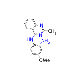 COc1ccc(Nc2nc(C)nc3ccccc23)c(N)c1